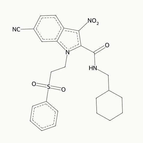 N#Cc1ccc2c([N+](=O)[O-])c(C(=O)NCC3CCCCC3)n(CCS(=O)(=O)c3ccccc3)c2c1